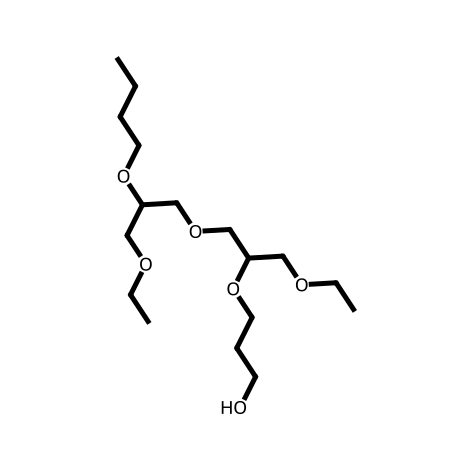 CCCCOC(COCC)COCC(COCC)OCCCO